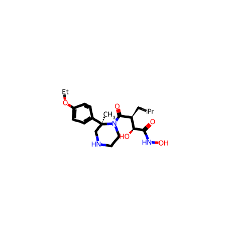 CCOc1ccc([C@]2(C)CNCCN2C(=O)[C@@H](CC(C)C)[C@H](O)C(=O)NO)cc1